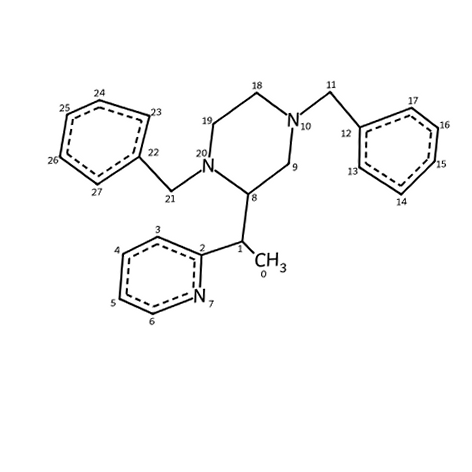 CC(c1ccccn1)C1CN(Cc2ccccc2)CCN1Cc1ccccc1